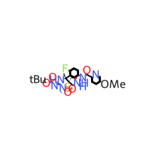 COc1ccc(C(=O)Nc2ccc(F)c([C@@]3(C)N/C(=N\C(=O)OC(C)(C)C)N(C)S(=O)(=O)[C@@]34CCNC4)c2)nc1